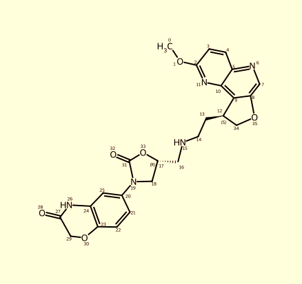 COc1ccc2ncc3c(c2n1)[C@H](CCNC[C@@H]1CN(c2ccc4c(c2)NC(=O)CO4)C(=O)O1)CO3